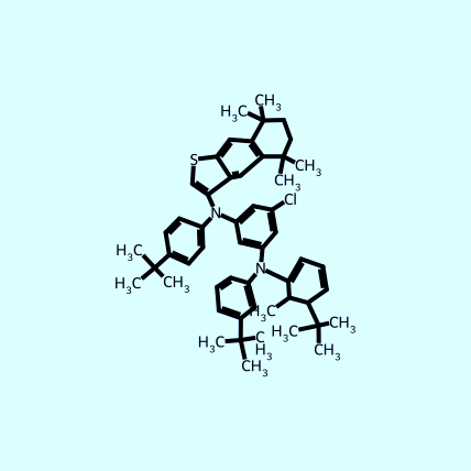 CC1C(N(c2cc(Cl)cc(N(c3ccc(C(C)(C)C)cc3)c3csc4cc5c(cc34)C(C)(C)CCC5(C)C)c2)c2cccc(C(C)(C)C)c2)=CC=CC1C(C)(C)C